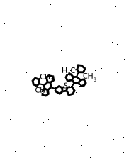 Cc1cccc(C)c1-c1c2ccccc2c(-c2ccc3c(c2)sc2c(-c4c5ccccc5c(-c5c(C)cccc5C)c5ccccc45)cccc23)c2ccccc12